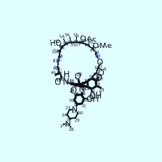 CO[C@H]1/C=C/O[C@@]2(C)Oc3c(C)c(O)c4c(=O)c(c5oc6cc(N7CCC(N(C)C)CC7)cc(O)c6nc-5c4c3C2=O)NC(=O)/C(C)=C\C=C\[C@H](C)[C@H](O)[C@@H](C)[C@@H](C)[C@@H](C)[C@H](OC(C)=O)[C@@H]1C